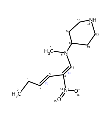 CC/C=C/C(=C\N(C)C1CCNCC1)[N+](=O)[O-]